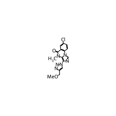 COCc1cn(-c2ncn3c4ccc(Cl)cc4c(=O)n(C)c23)nn1